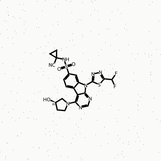 N#CC1(NS(=O)(=O)c2ccc3c4c(N5CC[C@@H](O)C5)ncnc4n(-c4nnc(C(F)F)s4)c3c2)CC1